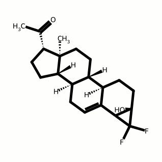 CC(=O)[C@H]1CC[C@H]2[C@@H]3CC=C4C5C(F)(F)[C@@]5(O)CC[C@@H]4[C@H]3CC[C@]12C